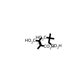 C/C(C(=O)O)=C(/C)C(=O)O.CC(C)(CC(=O)O)C(=O)O